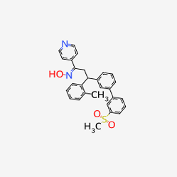 Cc1ccccc1C(C/C(=N/O)c1ccncc1)c1cccc(-c2cccc(S(C)(=O)=O)c2)c1